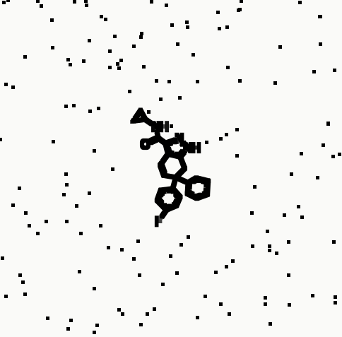 O=C(NC1CC1)c1n[nH]c2c1C=CC(c1ccccc1)(c1ccc(F)cc1)C2